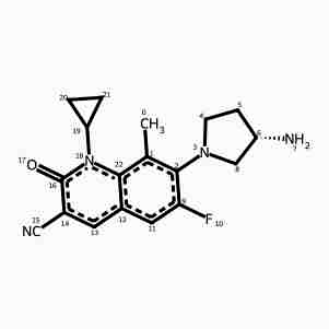 Cc1c(N2CC[C@H](N)C2)c(F)cc2cc(C#N)c(=O)n(C3CC3)c12